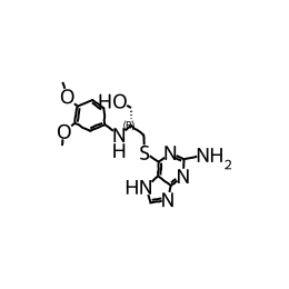 COc1ccc(N[C@H](CO)CSc2nc(N)nc3nc[nH]c23)cc1OC